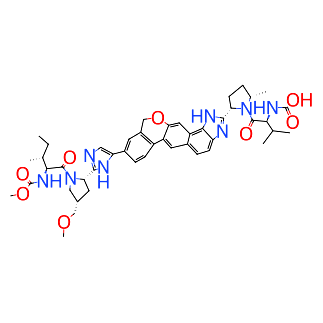 CC[C@@H](C)[C@H](NC(=O)OC)C(=O)N1C[C@@H](COC)C[C@H]1c1ncc(-c2ccc3c(c2)COc2cc4c(ccc5nc([C@@H]6CC[C@H](C)N6C(=O)[C@@H](NC(=O)O)C(C)C)[nH]c54)cc2-3)[nH]1